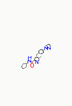 Cc1cnc(C(=O)NC2CCCC2)cc1Cc1ccc(-n2cccn2)cc1